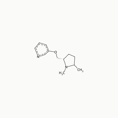 CC1CC[C@@H](COc2cccnc2)N1C